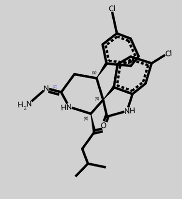 C=C(CC(C)C)[C@H]1N/C(=N\N)C[C@@H](c2cccc(Cl)c2)[C@]12C(=O)Nc1cc(Cl)ccc12